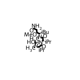 CC[C@H](C)[C@@H]([C@@H](CC(N)=O)OC)N(C)C(=O)[C@@H](NC(=O)[C@H](C(C)C)N(C)CO)C(C)C